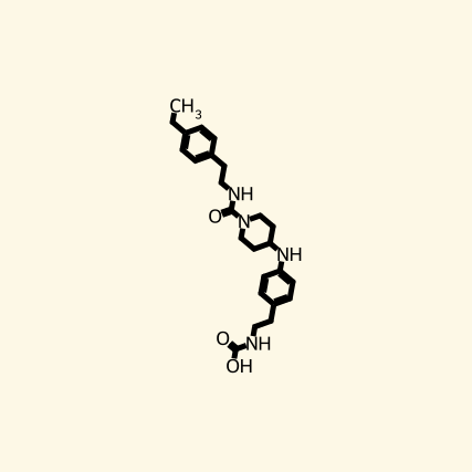 CCc1ccc(CCNC(=O)N2CCC(Nc3ccc(CCNC(=O)O)cc3)CC2)cc1